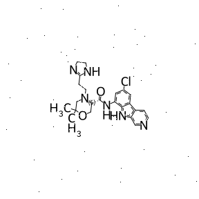 CC1(C)CN(CCC2=NCCN2)[C@H](C(=O)Nc2cc(Cl)cc3c2[nH]c2cnccc23)CO1